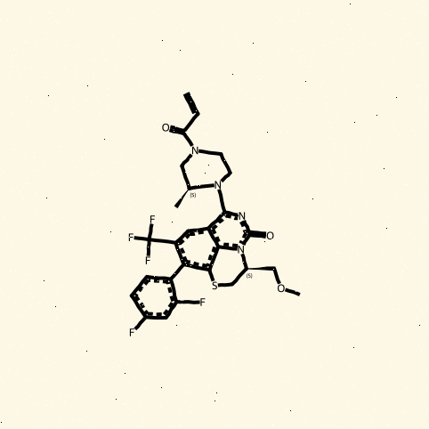 C=CC(=O)N1CCN(c2nc(=O)n3c4c(c(-c5ccc(F)cc5F)c(C(F)(F)F)cc24)SC[C@@H]3COC)[C@@H](C)C1